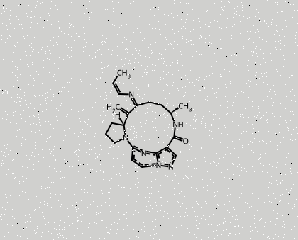 C=C1/C(=N\C=C/C)CC[C@@H](C)NC(=O)c2cnn3ccc(nc23)N2CCC[C@H]12